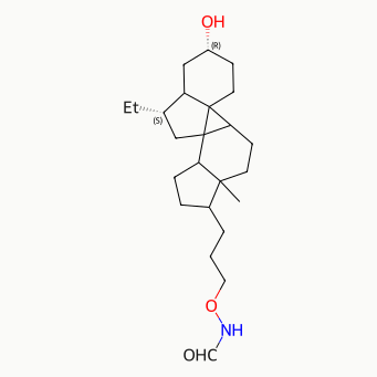 CC[C@H]1CC23C4CCC(CCCONC=O)C4(C)CCC2C32CC[C@@H](O)CC12